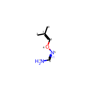 CC(C)=CO/N=C\N